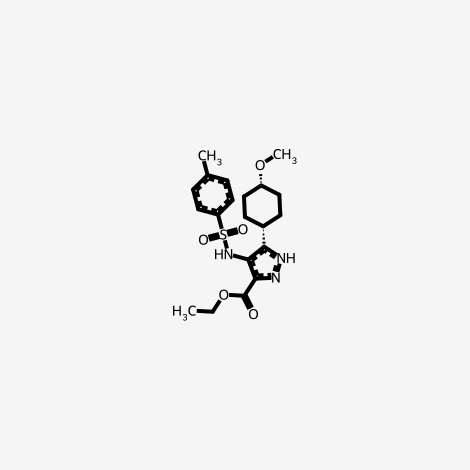 CCOC(=O)c1n[nH]c([C@H]2CC[C@@H](OC)CC2)c1NS(=O)(=O)c1ccc(C)cc1